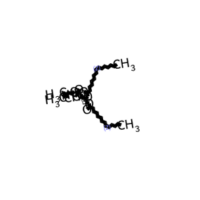 CCCC/C=C\CCCCCCCC(=O)OC[C@H](COP(=O)([O-])OCC[N+](C)(C)C)OC(=O)CCCCCCC/C=C\CCCCCC